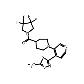 Cc1nnc(-c2ccncc2N2CCC(C(=O)N3CC(F)(F)C(F)(F)C3)CC2)s1